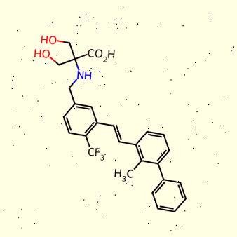 Cc1c(C=Cc2cc(CNC(CO)(CO)C(=O)O)ccc2C(F)(F)F)cccc1-c1ccccc1